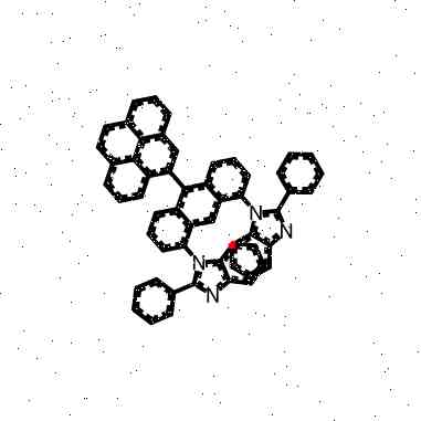 c1ccc(-c2nc3ccccc3n2-c2cccc3c(-c4cc5cccc6ccc7cccc4c7c65)c4cccc(-n5c(-c6ccccc6)nc6ccccc65)c4cc23)cc1